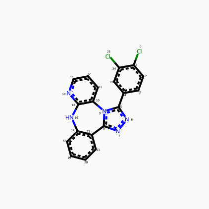 Clc1ccc(-c2nnc3n2-c2cccnc2Nc2ccccc2-3)cc1Cl